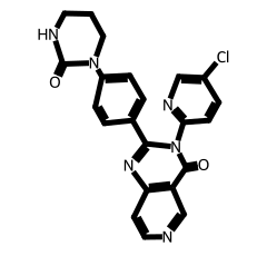 O=C1NCCCN1c1ccc(-c2nc3ccncc3c(=O)n2-c2ccc(Cl)cn2)cc1